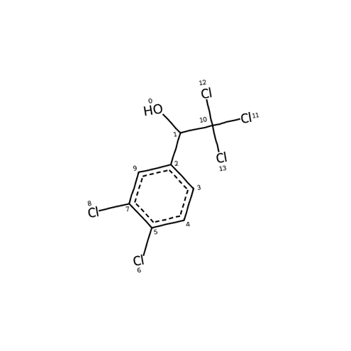 OC(c1ccc(Cl)c(Cl)c1)C(Cl)(Cl)Cl